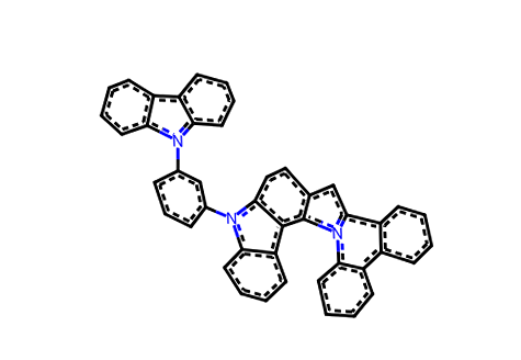 c1cc(-n2c3ccccc3c3ccccc32)cc(-n2c3ccccc3c3c2ccc2cc4c5ccccc5c5ccccc5n4c23)c1